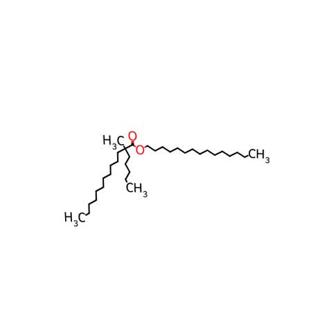 CCCCCCCCCCCCCCCOC(=O)C(C)(CCCCC)CCCCCCCCCCC